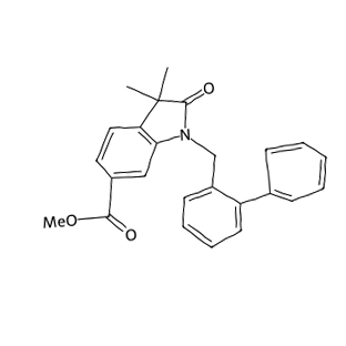 COC(=O)c1ccc2c(c1)N(Cc1ccccc1-c1ccccc1)C(=O)C2(C)C